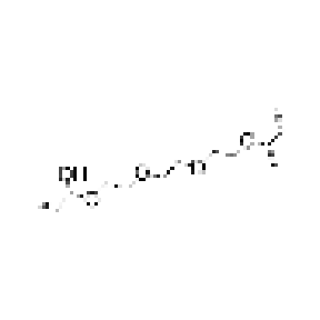 C=CC(=C)OCCOCCOCCOC(O)C=C